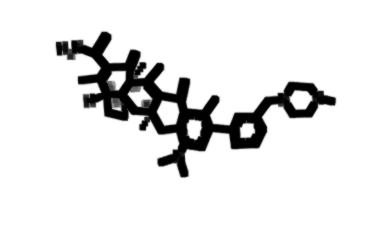 C=C(N)C1=C(C)[C@H]2CC[C@]23C[C@]2(C)Cc4c(N(C)C)cc(-c5cccc(CN6CCN(C)CC6)c5)c(C)c4C(=C)C2=C(C)[C@]3(C)C1=C